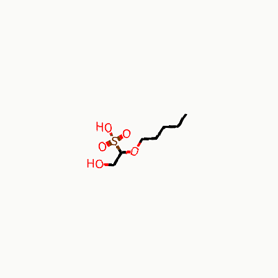 CCCCCOC(CO)S(=O)(=O)O